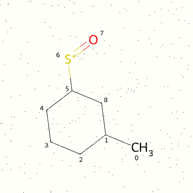 CC1CCCC([S+]=O)C1